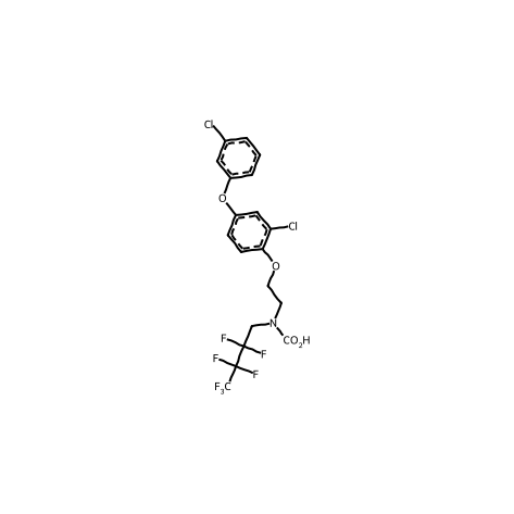 O=C(O)N(CCOc1ccc(Oc2cccc(Cl)c2)cc1Cl)CC(F)(F)C(F)(F)C(F)(F)F